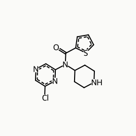 O=C(c1cccs1)N(c1cncc(Cl)n1)C1CCNCC1